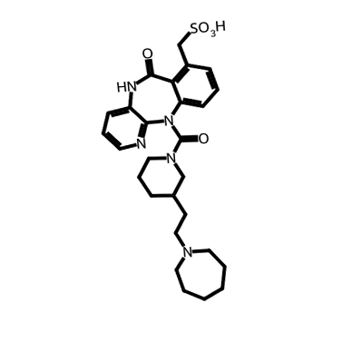 O=C1Nc2cccnc2N(C(=O)N2CCCC(CCN3CCCCCC3)C2)c2cccc(CS(=O)(=O)O)c21